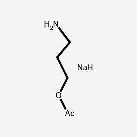 CC(=O)OCCCN.[NaH]